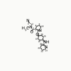 CN(CC#N)C(=O)c1cccnc1Oc1ccc(Nc2ccccn2)cc1